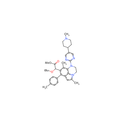 COC(=O)C(OC(C)(C)C)c1c(C)c2c3c(cc(C)n3CCN2c2ncc(C3CCN(C)CC3)cn2)c1-c1ccc(C)cc1